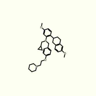 COc1ccc2c(c1)CCC(c1ccc(OC)cc1N(Cc1ccc(OCCN3CCCCC3)cc1)CC1CC1)C2